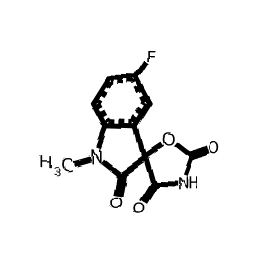 CN1C(=O)C2(OC(=O)NC2=O)c2cc(F)ccc21